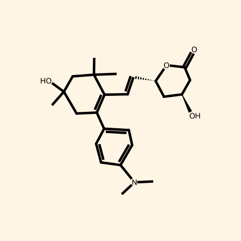 CN(C)c1ccc(C2=C(C=C[C@H]3C[C@H](O)CC(=O)O3)C(C)(C)CC(C)(O)C2)cc1